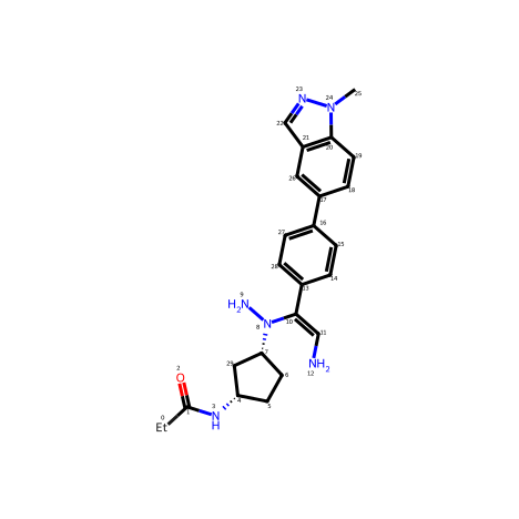 CCC(=O)N[C@H]1CC[C@@H](N(N)/C(=C\N)c2ccc(-c3ccc4c(cnn4C)c3)cc2)C1